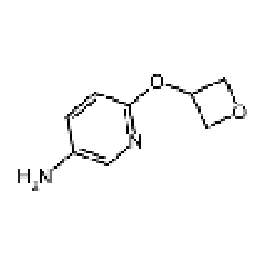 Nc1ccc(OC2COC2)nc1